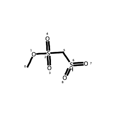 COS(=O)(=O)C[SH](=O)=O